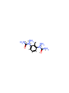 Cc1c(N(N)C(N)=O)cccc1N(N)C(N)=O